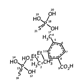 CCC.CCC.Cc1ccc(C(=O)O)cc1.OP(O)(O)=S.OP(O)(O)=S